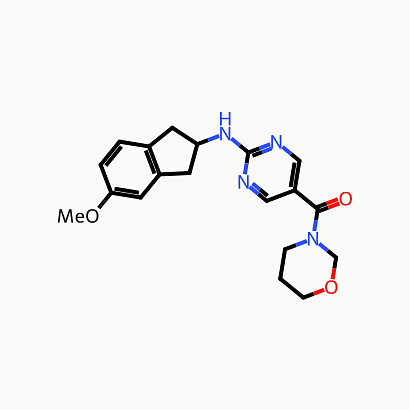 COc1ccc2c(c1)CC(Nc1ncc(C(=O)N3CCCOC3)cn1)C2